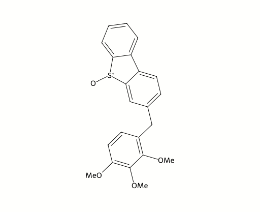 COc1ccc(Cc2ccc3c4ccccc4[s+]([O-])c3c2)c(OC)c1OC